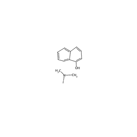 CN(C)I.Oc1cccc2ccccc12